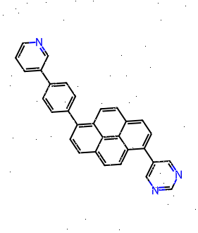 c1cncc(-c2ccc(-c3ccc4ccc5c(-c6cncnc6)ccc6ccc3c4c65)cc2)c1